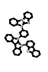 c1cc(-n2c3ccccc3c3c4ccccc4n(-c4cccc5c4oc4ccccc45)c32)cc(-n2c3ccccc3n3c4ccccc4nc23)c1